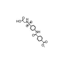 COC(=O)c1ccc(C(=O)Nc2ccc(S(=O)(=O)NCC(=O)O)cc2)cc1